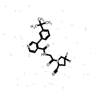 CC(C)(C)c1cccc(-c2cnccc2C(=O)NCC(=O)N2CC(F)(F)CC2C#N)c1